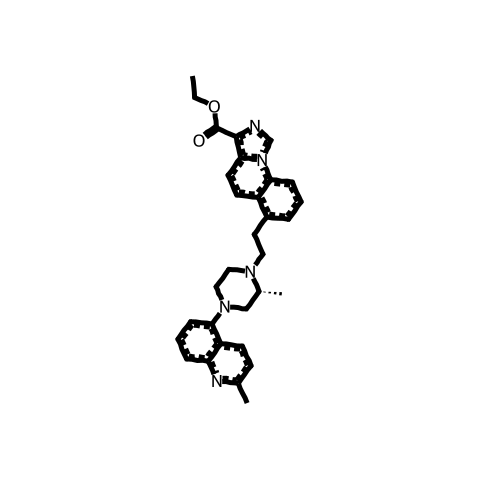 CCOC(=O)c1ncn2c1ccc1c(CCN3CCN(c4cccc5nc(C)ccc45)C[C@H]3C)cccc12